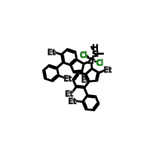 CCC1=Cc2c(ccc(CC)c2-c2ccccc2CC)[CH]1[Zr]([Cl])([Cl])([CH]1C(CC)=Cc2c1ccc(CC)c2-c1ccccc1CC)[SiH](C)C